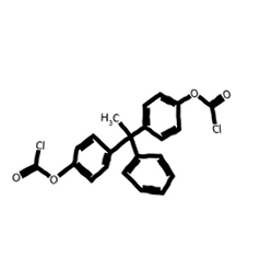 CC(c1ccccc1)(c1ccc(OC(=O)Cl)cc1)c1ccc(OC(=O)Cl)cc1